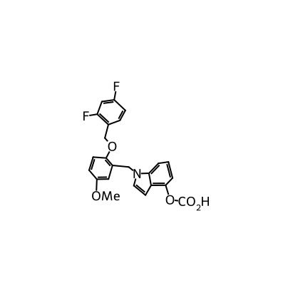 COc1ccc(OCc2ccc(F)cc2F)c(Cn2ccc3c(OC(=O)O)cccc32)c1